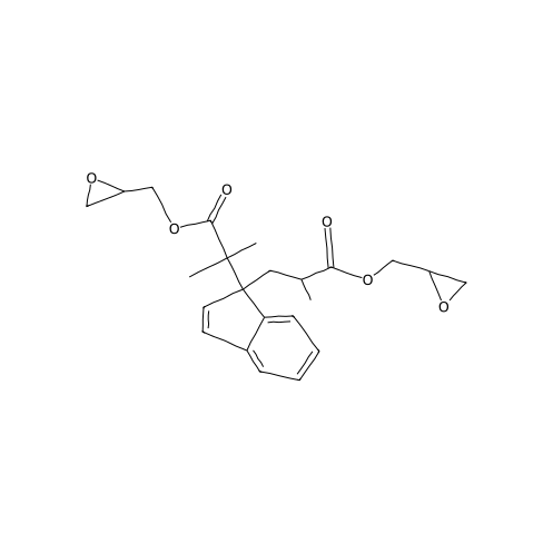 CC(CC1(C(C)(C)C(=O)OCC2CO2)C=Cc2ccccc21)C(=O)OCC1CO1